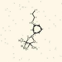 CC1(C)OB(c2cccc(OCCI)c2)OC1(C)C